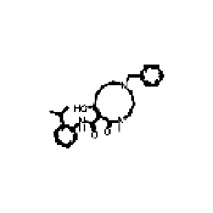 CC(C)c1ccccc1NC(=O)/C1=C(\O)CCCN(Cc2ccccc2)CCCNC1=O